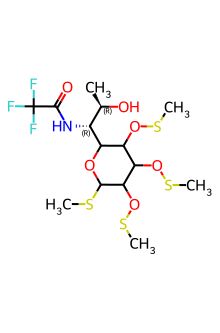 CSOC1C(SC)OC([C@H](NC(=O)C(F)(F)F)[C@@H](C)O)C(OSC)C1OSC